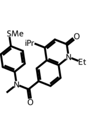 CCn1c(=O)cc(C(C)C)c2cc(C(=O)N(C)c3ccc(SC)cc3)ccc21